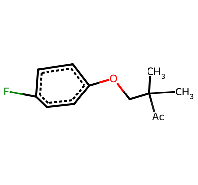 CC(=O)C(C)(C)COc1ccc(F)cc1